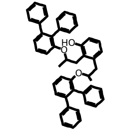 CC(Cc1cccc(O)c1CC(C)Oc1cccc(-c2ccccc2)c1-c1ccccc1)Oc1cccc(-c2ccccc2)c1-c1ccccc1